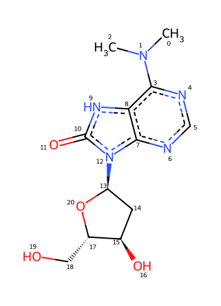 CN(C)c1ncnc2c1[nH]c(=O)n2[C@H]1C[C@@H](O)[C@H](CO)O1